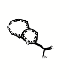 CC(C)(C)C(=O)c1cc2ccncc2o1